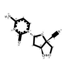 N#C[C@]1(CO)O[C@@H](n2ccc(N)nc2=O)C[C@@H]1O